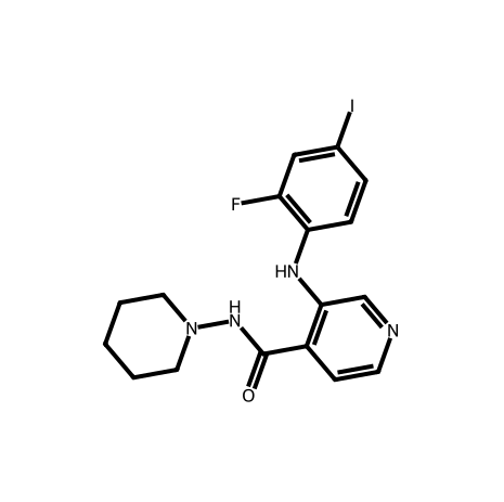 O=C(NN1CCCCC1)c1ccncc1Nc1ccc(I)cc1F